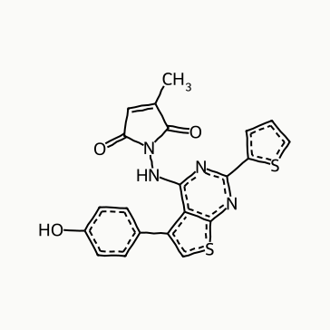 CC1=CC(=O)N(Nc2nc(-c3cccs3)nc3scc(-c4ccc(O)cc4)c23)C1=O